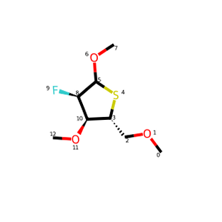 COC[C@H]1SC(OC)[C@H](F)[C@@H]1OC